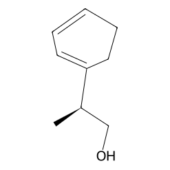 C[C@H](CO)C1=CC=CCC1